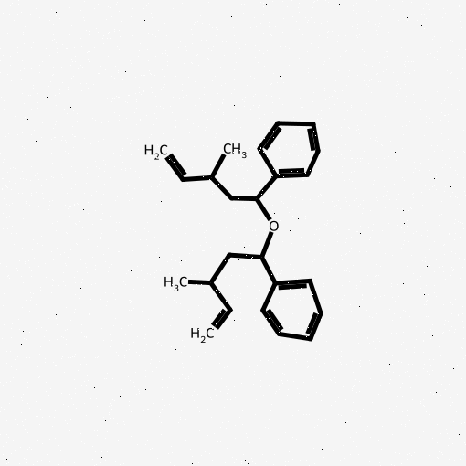 C=CC(C)CC(OC(CC(C)C=C)c1ccccc1)c1ccccc1